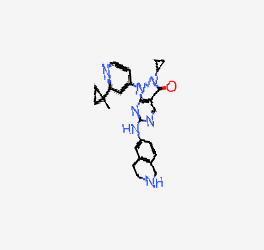 CC1(c2cc(-n3c4nc(Nc5ccc6c(c5)CCNC6)ncc4c(=O)n3C3CC3)ccn2)CC1